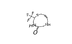 O=C1CNCC#CCSC(C(F)(F)F)CN1